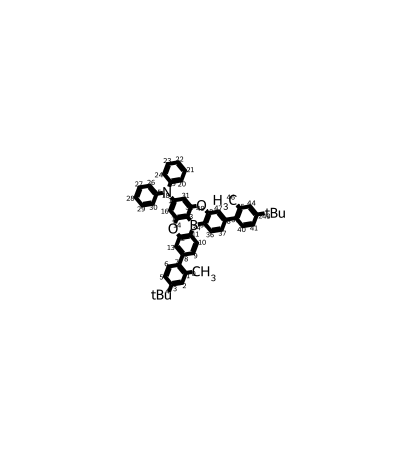 Cc1cc(C(C)(C)C)ccc1-c1ccc2c(c1)Oc1cc(N(c3ccccc3)c3ccccc3)cc3c1B2c1ccc(-c2ccc(C(C)(C)C)cc2C)cc1O3